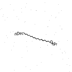 CCCCCCCCCCCCCCCCCCCCCCCCCCCCOCCC